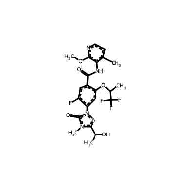 COc1nccc(C)c1NC(=O)c1cc(F)c(-n2nc(C(C)O)n(C)c2=O)cc1OC(C)C(F)(F)F